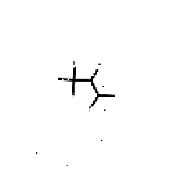 CC(F)C(F)C(C)(F)F